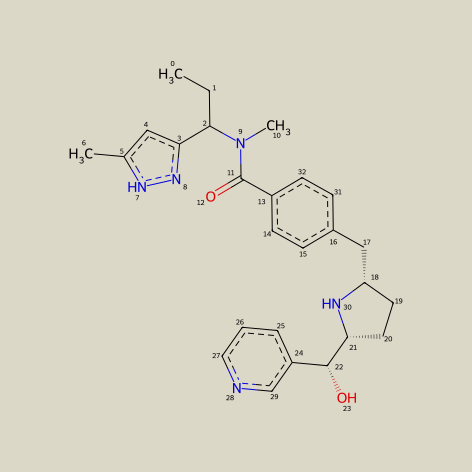 CCC(c1cc(C)[nH]n1)N(C)C(=O)c1ccc(C[C@@H]2CC[C@H]([C@H](O)c3cccnc3)N2)cc1